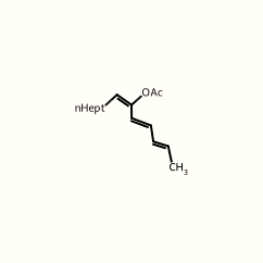 CC=CC=CC(=CCCCCCCC)OC(C)=O